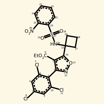 CCOC(=O)c1c(-c2c(Cl)cc(Cl)cc2Cl)noc1C1(NS(=O)(=O)c2ccccc2[N+](=O)[O-])CCC1